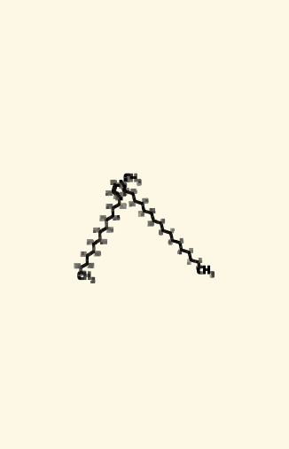 CCCCCCCCCCCCCCCCc1n(C)cc[n+]1CCCCCCCCCCCCC